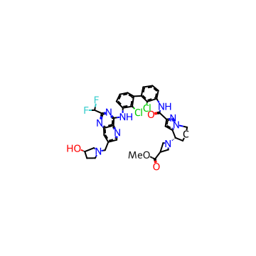 COC(=O)C1CN([C@H]2CCCn3nc(C(=O)Nc4cccc(-c5cccc(Nc6nc(C(F)F)nc7cc(CN8CC[C@@H](O)C8)cnc67)c5Cl)c4Cl)cc32)C1